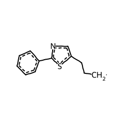 [CH2]CCc1cnc(-c2ccccc2)s1